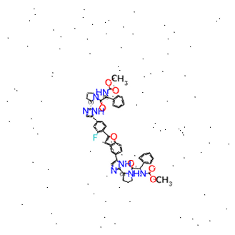 COC(=O)NC(C(=O)N1CCC[C@H]1c1ncc(-c2ccc3oc(-c4ccc(-c5cnc([C@@H]6CCCN6C(=O)[C@H](NC(=O)OC)c6ccccc6)[nH]5)cc4F)cc3c2)[nH]1)c1ccccc1